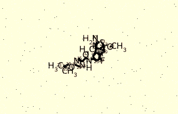 COC[C@]12C[C@H]1[C@](C)(c1cc(NC(=O)c3cnc(OCC(C)C)cn3)cc(F)c1F)N=C(N)S2